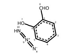 O=Cc1ccccc1O.[N-]=[N+]=N